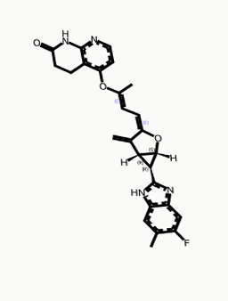 C=C1/C(=C\C=C(/C)Oc2ccnc3c2CCC(=O)N3)O[C@H]2[C@@H]1[C@@H]2c1nc2cc(F)c(C)cc2[nH]1